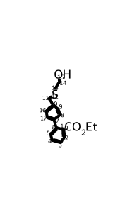 CCOC(=O)c1ccccc1-c1ccc(CSCCO)cc1